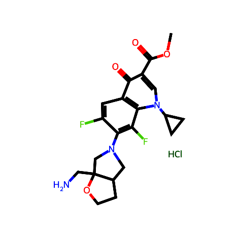 COC(=O)c1cn(C2CC2)c2c(F)c(N3CC4CCOC4(CN)C3)c(F)cc2c1=O.Cl